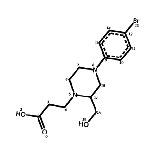 O=C(O)CCN1CCN(c2ccc(Br)cc2)CC1CO